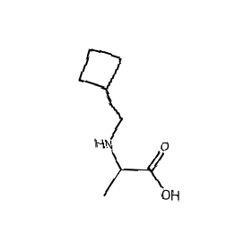 CC(NCC1CCC1)C(=O)O